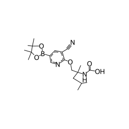 CC(C)CC(C)(COc1ncc(B2OC(C)(C)C(C)(C)O2)cc1C#N)NC(=O)O